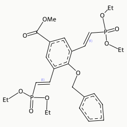 CCOP(=O)(/C=C/c1cc(C(=O)OC)cc(/C=C/P(=O)(OCC)OCC)c1OCc1ccccc1)OCC